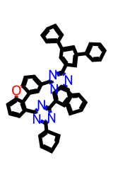 c1ccc(-c2cc(-c3ccccc3)cc(-c3nc(-c4ccccc4)nc(-c4ccc5oc6cccc(-c7nc(-c8ccccc8)nc(-c8ccccc8)n7)c6c5c4)n3)c2)cc1